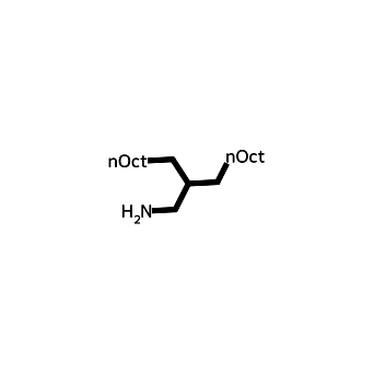 CCCCCCCCCC(CN)CCCCCCCCC